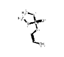 C/C=C\SP(=O)(OC)SC